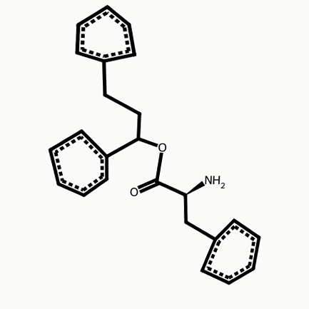 N[C@@H](Cc1ccccc1)C(=O)OC(CCc1ccccc1)c1ccccc1